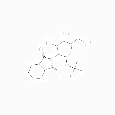 CCC(C)[C@@H]1C(CO)O[C@@H](OC(C)(C)CC)C(N2C(=O)C3CCCCC3C2=O)C1O